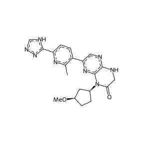 CO[C@@H]1CC[C@H](N2C(=O)CNc3ncc(-c4ccc(-c5nnc[nH]5)nc4C)nc32)C1